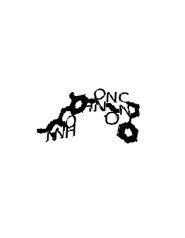 Cc1cc(Cc2ccc(C(=O)NCC(=O)N3[C@@H](C#N)CC[C@H]3c3ccccc3)cc2C)c(=O)[nH]n1